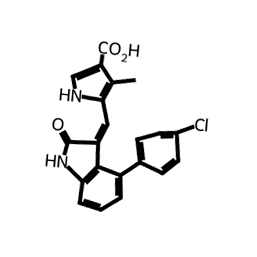 Cc1c(C(=O)O)c[nH]c1C=C1C(=O)Nc2cccc(-c3ccc(Cl)cc3)c21